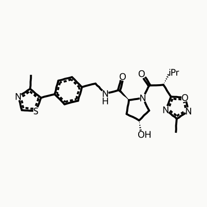 Cc1noc([C@H](C(=O)N2C[C@H](O)C[C@H]2C(=O)NCc2ccc(-c3scnc3C)cc2)C(C)C)n1